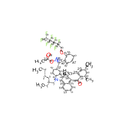 CCCCC(CC)CN1C2=c3ccccc3=C(C(=O)c3c(C)cc(C)cc3C)CC2(C)c2cc(/C(=N\OC(C)=O)c3ccccc3OCC(F)(F)C(F)(F)C(F)(F)C(F)F)ccc21